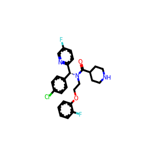 O=C(C1CCNCC1)N(CCOc1ccccc1F)[C@H](c1ccc(Cl)cc1)c1ccc(F)cn1